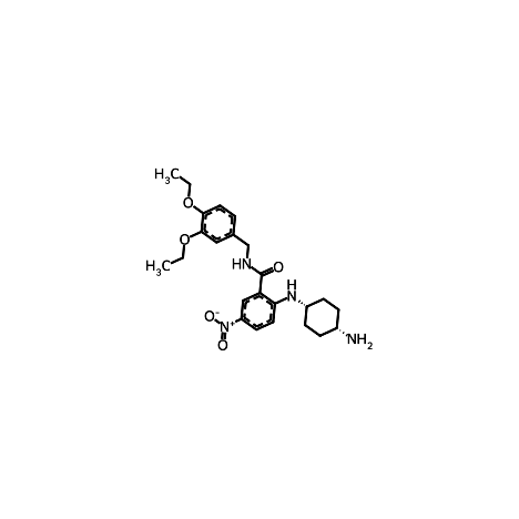 CCOc1ccc(CNC(=O)c2cc([N+](=O)[O-])ccc2N[C@H]2CC[C@@H](N)CC2)cc1OCC